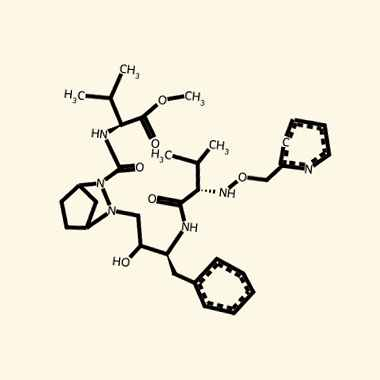 COC(=O)[C@@H](NC(=O)N1C2CCC(C2)N1CC(O)[C@H](Cc1ccccc1)NC(=O)[C@@H](NOCc1ccccn1)C(C)C)C(C)C